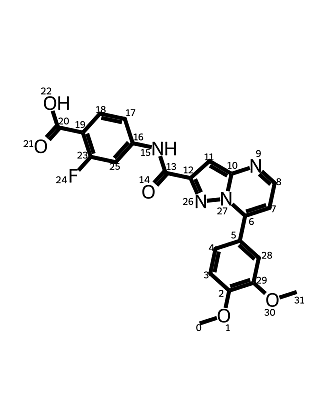 COc1ccc(-c2ccnc3cc(C(=O)Nc4ccc(C(=O)O)c(F)c4)nn23)cc1OC